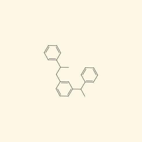 CC(Cc1cccc(C(C)c2ccccc2)c1)c1ccccc1